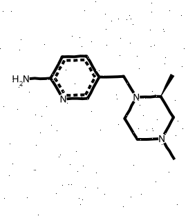 C[C@H]1CN(C)CCN1Cc1ccc(N)nc1